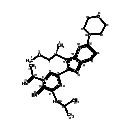 COC[C@H](C)n1c(-c2cn(C(C)=N)c(=N)c(NC(C)C)n2)nc2ccc(N3CCOCC3)nc21